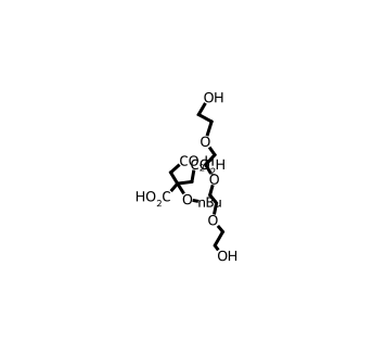 CCCCOC(CC(=O)O)(CC(=O)O)C(=O)O.OCCOCCOCCOCCO